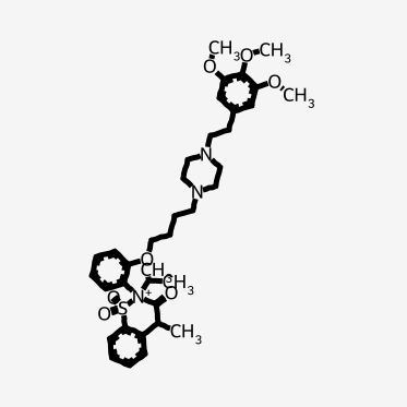 COc1cc(CCN2CCN(CCCCOc3ccccc3[N+]3(C(C)C)C(=O)C(C)c4ccccc4S3(=O)=O)CC2)cc(OC)c1OC